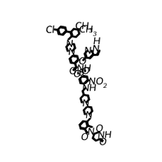 CC1(C)CCC(CN2CCN(c3ccc(C(=O)NS(=O)(=O)c4ccc(NCC5CCN(C6CCN(Cc7cccc8c7CN(C7CCC(=O)NC7=O)C8=O)CC6)CC5)c([N+](=O)[O-])c4)c(Oc4cnc5[nH]ccc5c4)c3)CC2)=C(c2ccc(Cl)cc2)C1